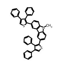 Cn1c2ccc(-c3scc(-c4ccccc4)c3-c3ccccc3)cc2c2cc(-c3scc(-c4ccccc4)c3-c3ccccc3)ccc21